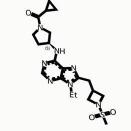 CCn1c(CC2CN(S(C)(=O)=O)C2)nc2c(N[C@H]3CCN(C(=O)C4CC4)C3)ncnc21